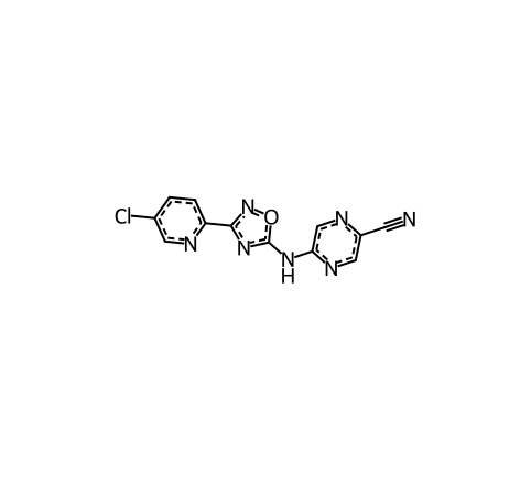 N#Cc1cnc(Nc2nc(-c3ccc(Cl)cn3)no2)cn1